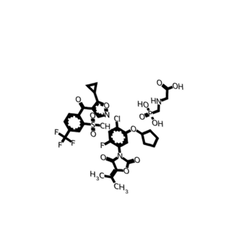 CC(C)=C1OC(=O)N(c2cc(OC3CCCC3)c(Cl)cc2F)C1=O.CS(=O)(=O)c1cc(C(F)(F)F)ccc1C(=O)c1cnoc1C1CC1.O=C(O)CNCP(=O)(O)O